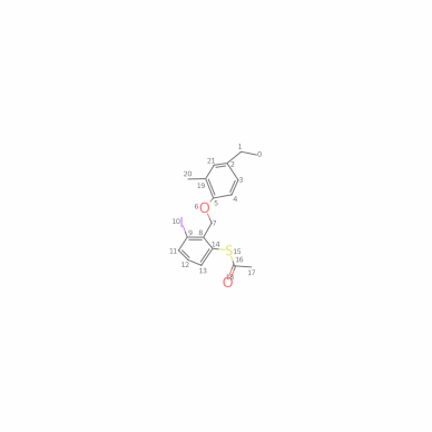 CCc1ccc(OCc2c(I)cccc2SC(C)=O)c(C)c1